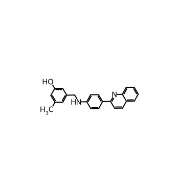 Cc1cc(O)cc(CNc2ccc(-c3ccc4ccccc4n3)cc2)c1